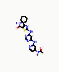 CC(=O)N(C)c1ccnc(Nc2cc(Nc3nc4c(s3)C(=O)NC43CCCCC3)ncn2)c1